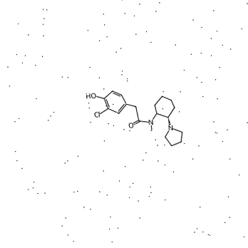 CN(C(=O)Cc1ccc(O)c(Cl)c1)C1CCCC[C@H]1N1CCCC1